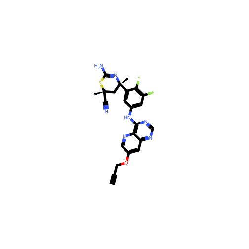 C#CCOc1cnc2c(Nc3cc(F)c(F)c([C@]4(C)C[C@](C)(C#N)SC(N)=N4)c3)ncnc2c1